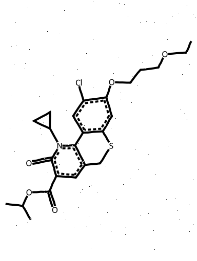 CCOCCCOc1cc2c(cc1Cl)-c1c(cc(C(=O)OC(C)C)c(=O)n1C1CC1)CS2